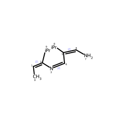 C\C=C(/N=C\C(=C/N)C(C)C)C(C)C